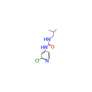 CC(C)CNC(=O)Nc1ccnc(Cl)c1